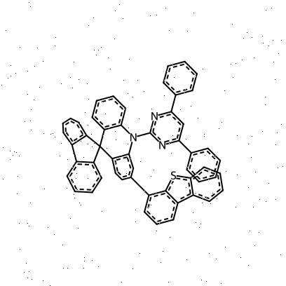 c1ccc(-c2cc(-c3ccccc3)nc(N3c4ccccc4C4(c5ccccc5-c5ccccc54)c4ccc(-c5cccc6c5sc5ccccc56)cc43)n2)cc1